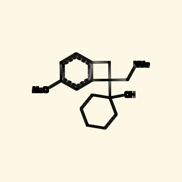 CNCC1(C2(O)CCCCC2)Cc2ccc(OC)cc21